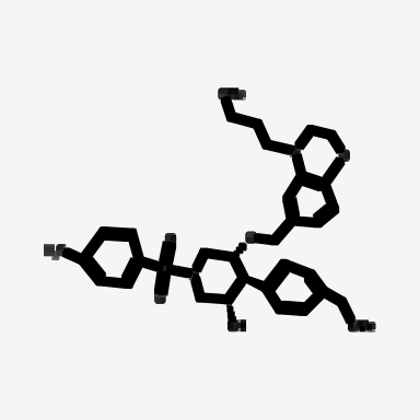 COCCCN1CCOc2ccc(CO[C@H]3CN(S(=O)(=O)c4ccc(C)cc4)C[C@@H](O)[C@@H]3c3ccc(COC)cc3)cc21